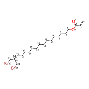 C=CC(=O)OCCCCCCCCCCCCCCC[SiH](CBr)CBr